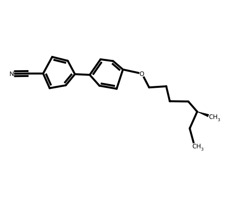 CC[C@H](C)CCCCOc1ccc(-c2ccc(C#N)cc2)cc1